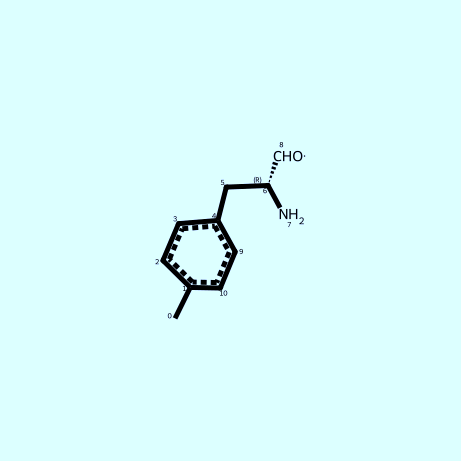 Cc1ccc(C[C@@H](N)[C]=O)cc1